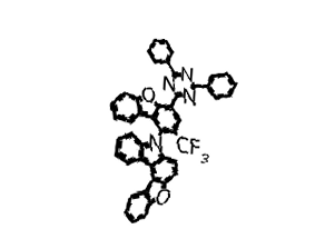 FC(F)(F)c1cc(-c2nc(-c3ccccc3)nc(-c3ccccc3)n2)c2oc3ccccc3c2c1-n1c2ccccc2c2c3c(ccc21)oc1ccccc13